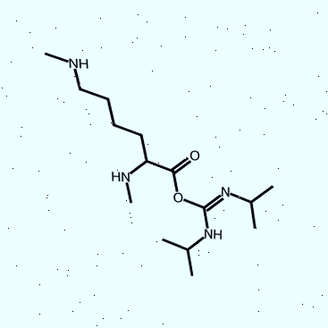 CNCCCCC(NC)C(=O)OC(=NC(C)C)NC(C)C